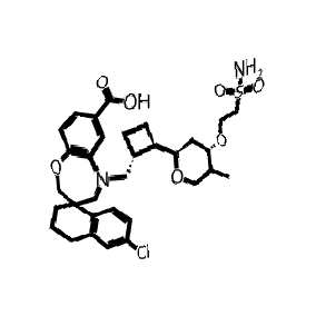 CC1CO[C@@H]([C@@H]2CC[C@H]2CN2CC3(CCCc4cc(Cl)ccc43)COc3ccc(C(=O)O)cc32)C[C@@H]1OCCS(N)(=O)=O